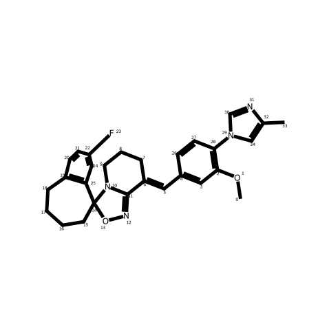 COc1cc(/C=C2\CCCN3C2=NOC32CCCCc3ccc(F)cc32)ccc1-n1cnc(C)c1